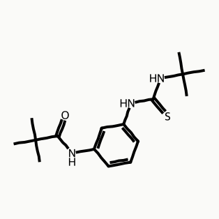 CC(C)(C)NC(=S)Nc1cccc(NC(=O)C(C)(C)C)c1